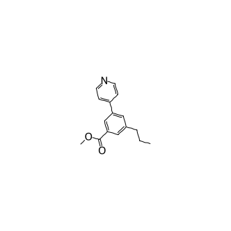 CCCc1cc(C(=O)OC)cc(-c2ccncc2)c1